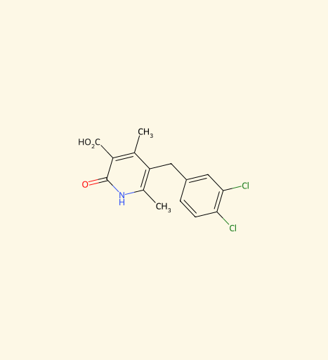 Cc1[nH]c(=O)c(C(=O)O)c(C)c1Cc1ccc(Cl)c(Cl)c1